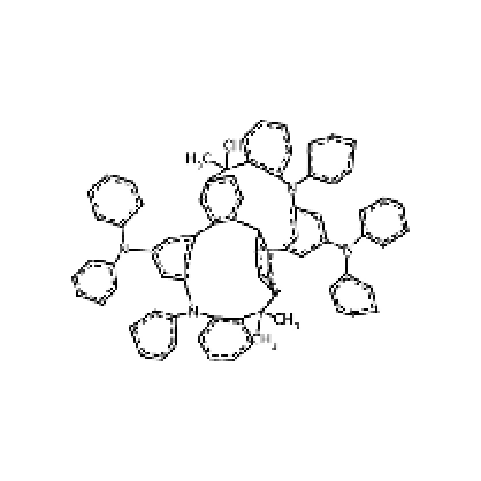 CC1(C)c2ccc3c(c2)-c2cc(N(c4ccccc4)c4ccccc4)cc(c2)N(c2ccccc2)c2ccccc2C(C)(C)c2ccc-3c(c2)-c2cc(N(c3ccccc3)c3ccccc3)cc(c2)N(c2ccccc2)c2ccccc21